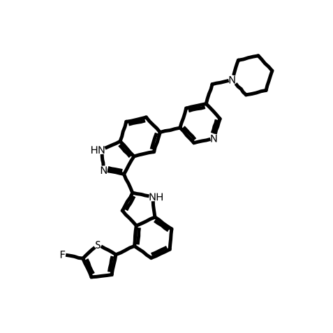 Fc1ccc(-c2cccc3[nH]c(-c4n[nH]c5ccc(-c6cncc(CN7CCCCC7)c6)cc45)cc23)s1